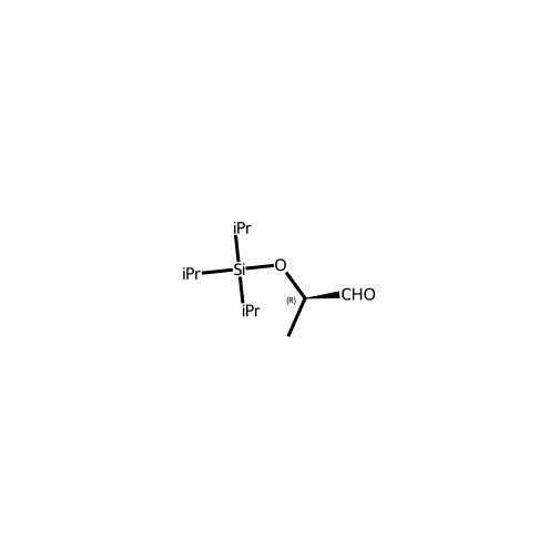 CC(C)[Si](O[C@H](C)C=O)(C(C)C)C(C)C